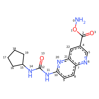 NOC(=O)c1cnc2ccc(NC(=O)NC3CCCC3)nc2c1